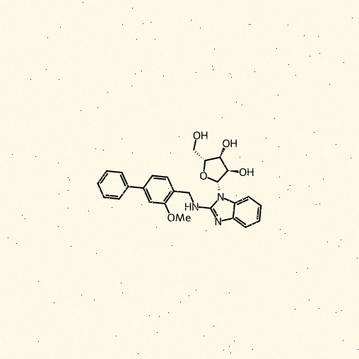 COc1cc(-c2ccccc2)ccc1CNc1nc2ccccc2n1[C@@H]1O[C@H](CO)[C@@H](O)[C@H]1O